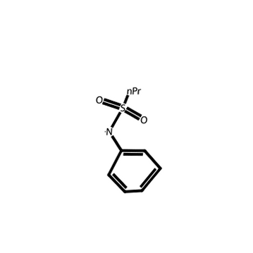 CCCS(=O)(=O)[N]c1ccccc1